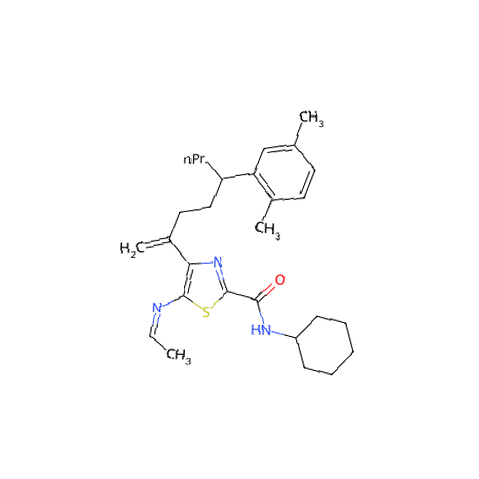 C=C(CCC(CCC)c1cc(C)ccc1C)c1nc(C(=O)NC2CCCCC2)sc1/N=C\C